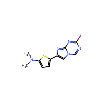 CN(C)c1ccc(-c2cn3cnc(I)nc3n2)s1